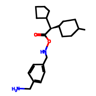 CC1CCC([C@@H](C(=O)ONCc2ccc(CN)cc2)C2CCCC2)CC1